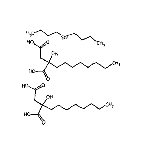 CCCCCCCCC(O)(CC(=O)O)C(=O)O.CCCCCCCCC(O)(CC(=O)O)C(=O)O.CCC[CH2][Sn][CH2]CCC